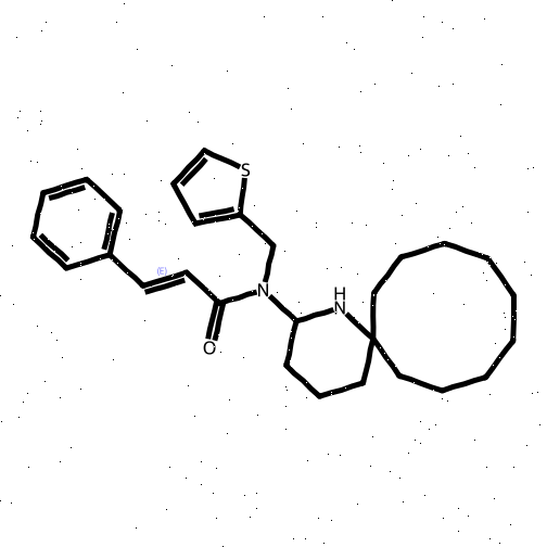 O=C(/C=C/c1ccccc1)N(Cc1cccs1)C1CCCC2(CCCCCCCCC2)N1